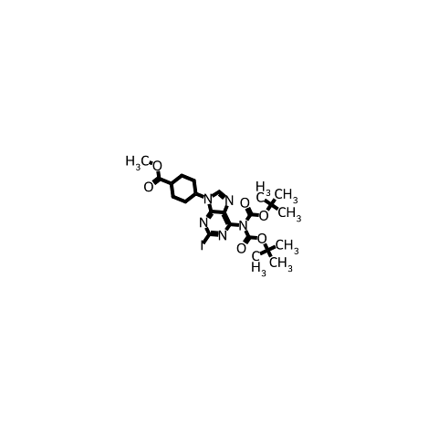 COC(=O)C1CCC(n2cnc3c(N(C(=O)OC(C)(C)C)C(=O)OC(C)(C)C)nc(I)nc32)CC1